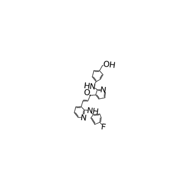 O=C(/C=C/c1cccnc1Nc1ccc(F)cc1)c1cccnc1Nc1ccc(CO)cc1